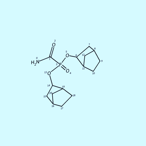 NC(=O)P(=O)(OC1CC2CCC1C2)OC1CC2CCC1C2